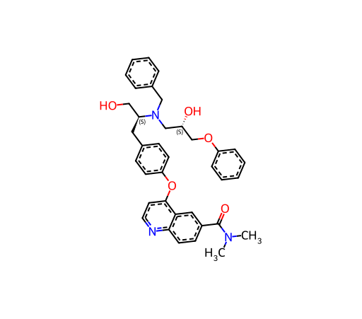 CN(C)C(=O)c1ccc2nccc(Oc3ccc(C[C@@H](CO)N(Cc4ccccc4)C[C@H](O)COc4ccccc4)cc3)c2c1